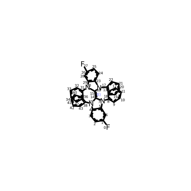 Fc1ccc2c(c1)N(c1ccccc1)/C(=C1\N(c3ccccc3)c3ccc(F)cc3N1c1ccccc1)N2c1ccccc1